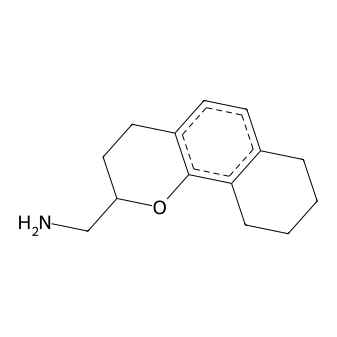 NCC1CCc2ccc3c(c2O1)CCCC3